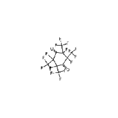 O=C1C(F)(C(F)(F)F)C(F)(C(F)(F)F)C(=O)C(F)(C(F)(F)F)C1(F)C(F)(F)F